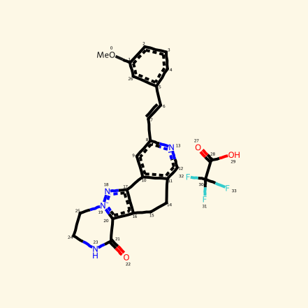 COc1cccc(/C=C/c2cc3c(cn2)CCc2c-3nn3c2C(=O)NCC3)c1.O=C(O)C(F)(F)F